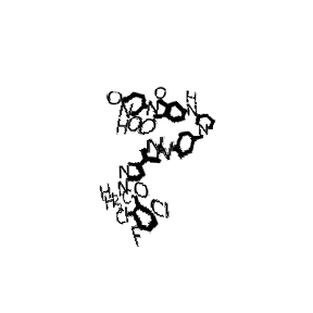 C[C@@H](Oc1cc(-c2cnn(C3CCC(CN4CCC[C@H](Nc5ccc6c(c5)C(=O)N(C5CCC(=O)NC5=O)C6=O)C4)CC3)c2)cnc1N)c1c(Cl)ccc(F)c1Cl